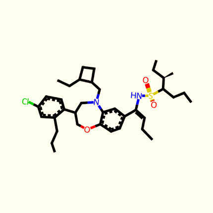 CC/C=C(/NS(=O)(=O)C(CCC)[C@H](C)CC)c1ccc2c(c1)N(CC1CCC1CC)CC(c1ccc(Cl)cc1CCC)CO2